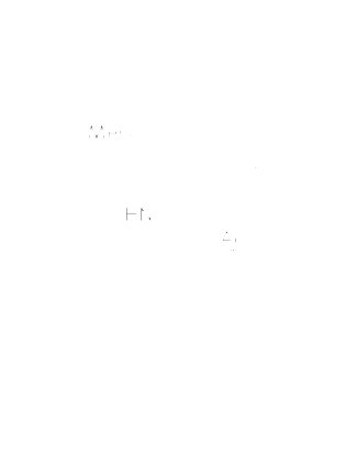 COc1ccccc1Nc1ccccc1C(C)=O